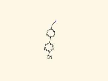 N#Cc1ccc(-c2ccc(CI)cc2)cc1